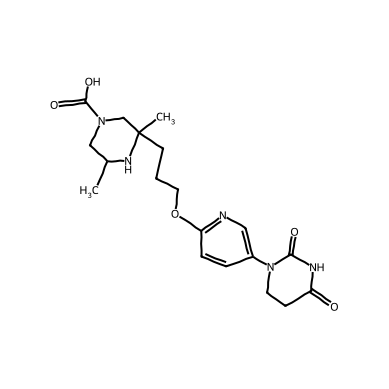 CC1CN(C(=O)O)CC(C)(CCCOc2ccc(N3CCC(=O)NC3=O)cn2)N1